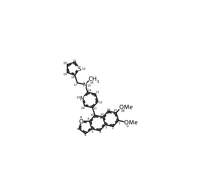 COc1cc2cc3ccoc3c(-c3ccc(N(C)Cc4cccs4)nc3)c2cc1OC